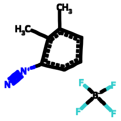 Cc1cccc([N+]#N)c1C.F[B-](F)(F)F